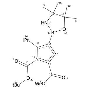 COC(=O)c1cc(B2NC(C)(C)C(C)(C)O2)c(C(C)C)n1C(=O)OC(C)(C)C